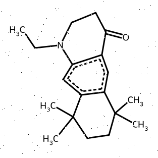 CCN1CCC(=O)c2cc3c(cc21)C(C)(C)CCC3(C)C